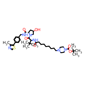 Cc1ncsc1-c1ccc(CNC(=O)[C@@H]2C[C@@H](O)CN2C(=O)C(NC(=O)CCCCCCCCN2CCN(C(=O)OC(C)(C)C)CC2)C(C)(C)C)cc1